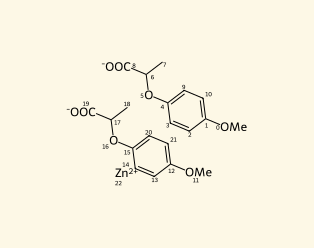 COc1ccc(OC(C)C(=O)[O-])cc1.COc1ccc(OC(C)C(=O)[O-])cc1.[Zn+2]